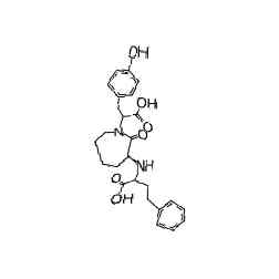 O=C(O)C(CCc1ccccc1)N[C@H]1CCCCN(C(Cc2ccc(O)cc2)C(=O)O)C1=O